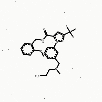 COc1ccccc1CNC(=O)c1cc(C(F)(F)F)nn1-c1cccc(CN(C)CCN)c1